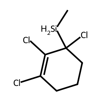 C[SiH2]C1(Cl)CCCC(Cl)=C1Cl